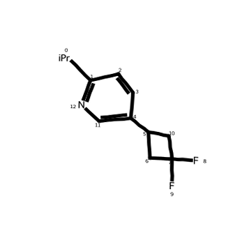 CC(C)c1ccc(C2CC(F)(F)C2)cn1